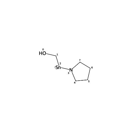 O[CH2][Sn][N]1CCCC1